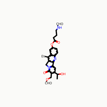 CCc1c2c(nc3ccc(OC(=O)CCCNC=O)cc13)-c1cc(C(C)O)c(COC=O)c(=O)n1C2